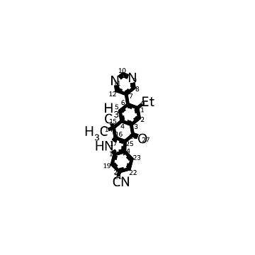 CCc1cc2c(cc1-c1cncnc1)C(C)(C)c1[nH]c3cc(C#N)ccc3c1C2=O